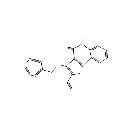 Cn1c(=O)c2c(OCc3ccncc3)c(C=O)sc2c2ccccc21